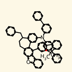 CC1(C)c2ccccc2-c2ccc(-c3c4c(cc5oc6ccccc6c35)CCC(Cc3ccccc3)c3ccc(N(c5ccc(-c6ccccc6)cc5)c5cccc(-c6ccccc6)c5)cc3-4)cc21